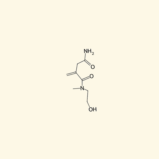 C=C(CC(N)=O)C(=O)N(C)CCO